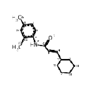 Cc1ccc(NC(=O)/C=C/C2CCCCC2)c(C)c1